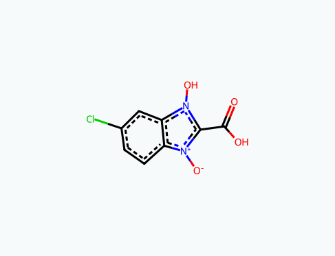 O=C(O)c1n(O)c2cc(Cl)ccc2[n+]1[O-]